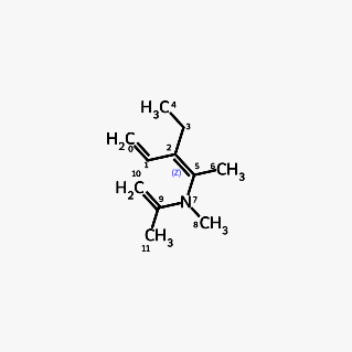 C=C/C(CC)=C(/C)N(C)C(=C)C